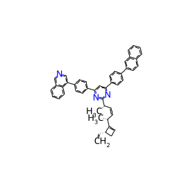 C=C[C@H]1CC=C1[C@H](C)/C=C\[C@H](C)c1nc(-c2ccc(-c3ccc4ccccc4c3)cc2)cc(-c2ccc(-c3cncc4ccccc34)cc2)n1